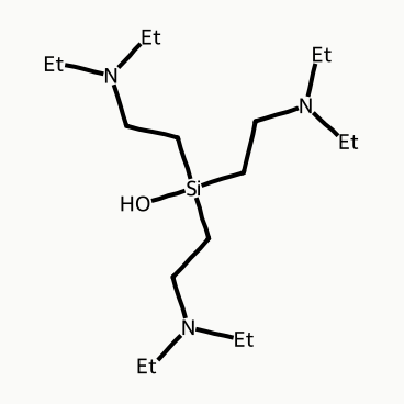 CCN(CC)CC[Si](O)(CCN(CC)CC)CCN(CC)CC